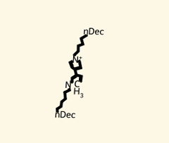 C\C=C/C(=C\C=N\CCCCCCCCCCCCCCCC)c1cc[n+](CCCCCCCCCCCCCCCC)cc1